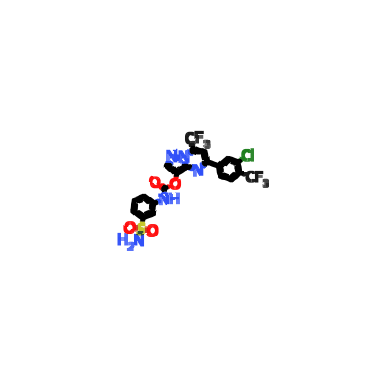 NS(=O)(=O)c1cccc(NC(=O)Oc2cnn3c(C(F)(F)F)cc(-c4ccc(C(F)(F)F)c(Cl)c4)nc23)c1